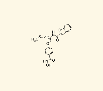 CSCC[C@@H](COc1ccc(C(=O)NO)cc1)NC(=O)c1cc2ccccc2o1